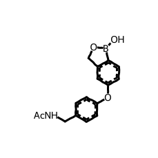 CC(=O)NCc1ccc(Oc2ccc3c(c2)COB3O)cc1